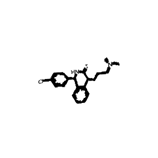 CN(C)CCCC1C(=S)NC(c2ccc(Cl)cc2)c2ccccc21